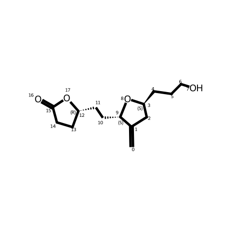 C=C1C[C@H](CCCO)O[C@H]1CC[C@@H]1CCC(=O)O1